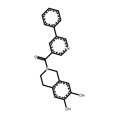 O=C(c1cncc(-c2ccccc2)c1)N1CCc2cc(O)c(O)cc2C1